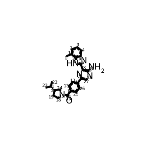 Cc1cccc2nc(-c3nc(-c4ccc(C(=O)N5CC[C@@H](C(C)C)C5)cc4)cnc3N)[nH]c12